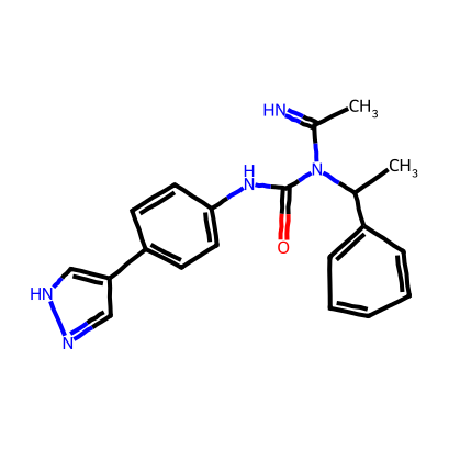 CC(=N)N(C(=O)Nc1ccc(-c2cn[nH]c2)cc1)C(C)c1ccccc1